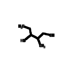 CCC(O)C(C)CO